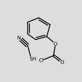 N#CS.O=C(Cl)Oc1ccccc1